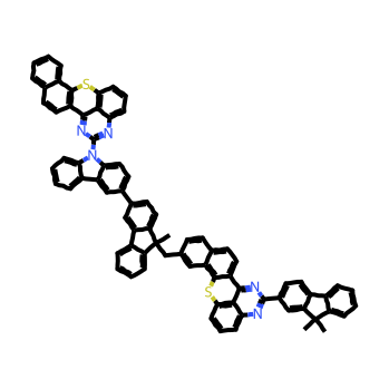 CC1(C)c2ccccc2-c2ccc(-c3nc4c5c(cccc5n3)Sc3c-4ccc4ccc(CC5(C)c6ccccc6-c6cc(-c7ccc8c(c7)c7ccccc7n8-c7nc8c9c(cccc9n7)Sc7c-8ccc8ccccc78)ccc65)cc34)cc21